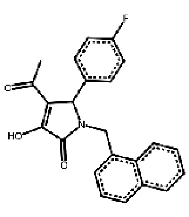 CC(=O)C1=C(O)C(=O)N(Cc2cccc3ccccc23)C1c1ccc(F)cc1